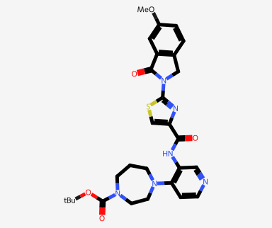 COc1ccc2c(c1)C(=O)N(c1nc(C(=O)Nc3cnccc3N3CCCN(C(=O)OC(C)(C)C)CC3)cs1)C2